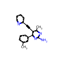 Cc1cccc(-c2nc(N)nc(C)c2C#Cc2ccccn2)c1